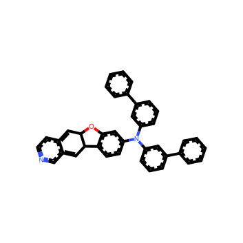 C1=c2ccncc2=CC2c3ccc(N(c4cccc(-c5ccccc5)c4)c4cccc(-c5ccccc5)c4)cc3OC12